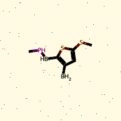 Bc1cc(SC)sc1BPC